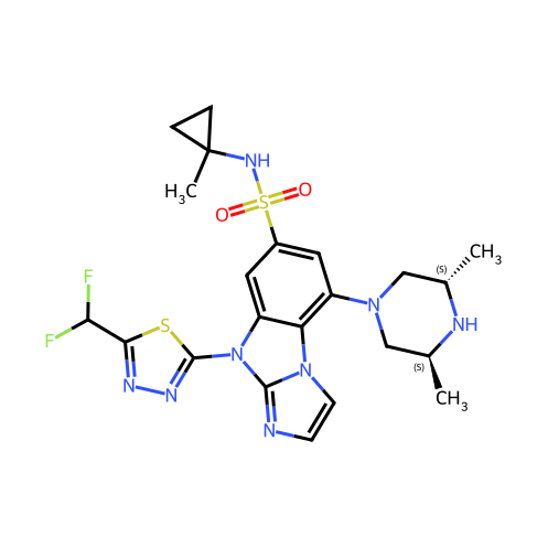 C[C@H]1CN(c2cc(S(=O)(=O)NC3(C)CC3)cc3c2n2ccnc2n3-c2nnc(C(F)F)s2)C[C@H](C)N1